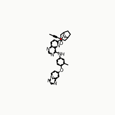 CC#CC(=O)N1C2CCC1CN(c1ccc3ncnc(Nc4ccc(Oc5ccn6ncnc6c5)c(C)c4)c3n1)C2